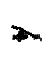 CCCCCCCCCCCCCCCCCCN.O=C(c1ccccc1)c1ccccc1OBr